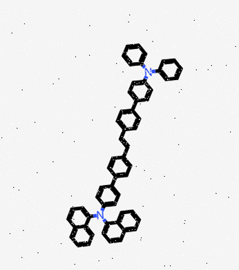 C(=C\c1ccc(-c2ccc(N(c3cccc4ccccc34)c3cccc4ccccc34)cc2)cc1)/c1ccc(-c2ccc(N(c3ccccc3)c3ccccc3)cc2)cc1